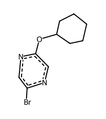 Brc1cnc(OC2CCCCC2)cn1